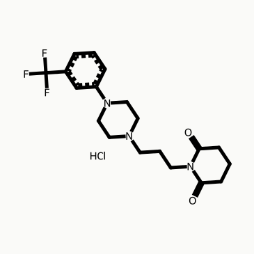 Cl.O=C1CCCC(=O)N1CCCN1CCN(c2cccc(C(F)(F)F)c2)CC1